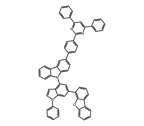 c1ccc(-c2cc(-c3ccccc3)nc(-c3ccc(-c4ccc5c(c4)c4ccccc4n5-c4cc(-c5cccc6c5oc5ccccc56)cc5c4ccn5-c4ccccc4)cc3)n2)cc1